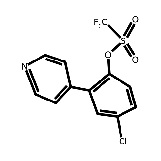 O=S(=O)(Oc1ccc(Cl)cc1-c1ccncc1)C(F)(F)F